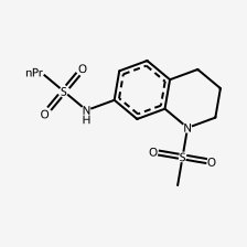 CCCS(=O)(=O)Nc1ccc2c(c1)N(S(C)(=O)=O)CCC2